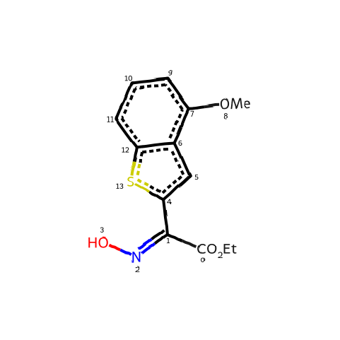 CCOC(=O)/C(=N/O)c1cc2c(OC)cccc2s1